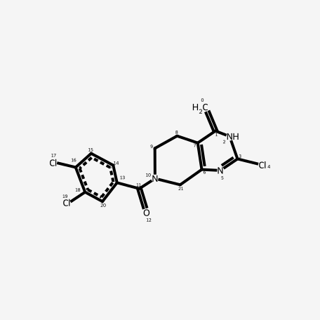 C=C1NC(Cl)=NC2=C1CCN(C(=O)c1ccc(Cl)c(Cl)c1)C2